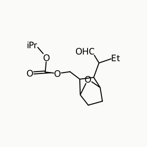 CCC(C=O)C1C2CCC(O2)C1COC(=O)OC(C)C